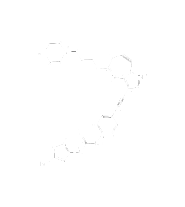 CC(C)(C)c1cc(NC(=O)Nc2ccc(C#Cc3cnn4c3N=C(OCCCN3CCOCC3)CC#C4)cc2)no1